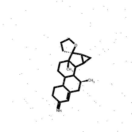 C[C@H]1CC2=CC(=N)CCC2C2CCC3(C)C(C4CC4[C@@]34CCCO4)C21